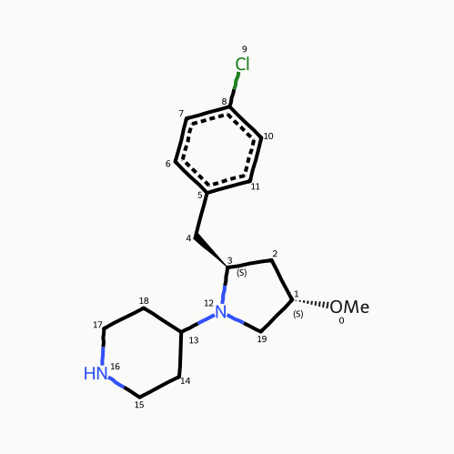 CO[C@H]1C[C@H](Cc2ccc(Cl)cc2)N(C2CCNCC2)C1